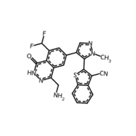 Cn1ncc(-c2cc(C(F)F)c3c(=O)[nH]nc(CN)c3c2)c1-c1sc2ccccc2c1C#N